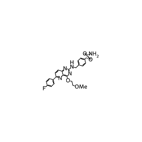 COCCOc1nc(NCc2ccc(S(N)(=O)=O)cc2)nc2ccc(-c3ccc(F)cc3)nc12